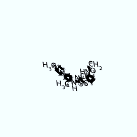 C=CC(=O)Nc1cccc(Sc2sc(Nc3ccc(N4CCN(C)CC4)cc3C)nc2Cl)c1